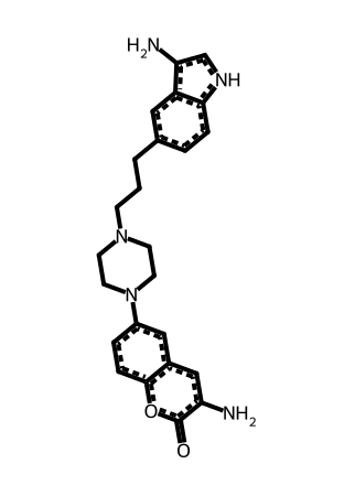 Nc1cc2cc(N3CCN(CCCc4ccc5[nH]cc(N)c5c4)CC3)ccc2oc1=O